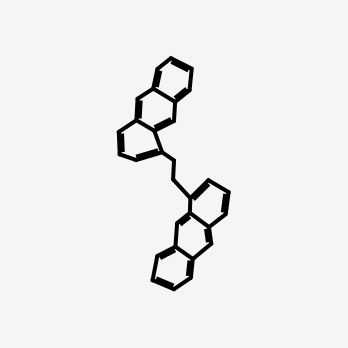 c1ccc2cc3c(CCc4cccc5cc6ccccc6cc45)cccc3cc2c1